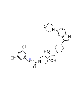 O=C(/C=C/c1cc(Cl)cc(Cl)c1)N1CCC(O)(C(O)CN2CCC(c3c[nH]c4ccc(N5CCOCC5)cc34)CC2)CC1